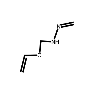 C=COCNN=C